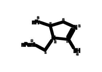 CCCCCCN1C(S)=NCC1CCC